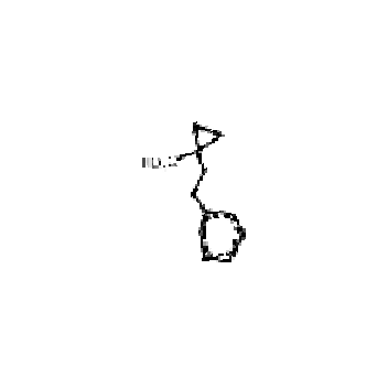 O=C(O)C1(CCc2ccccc2)CC1